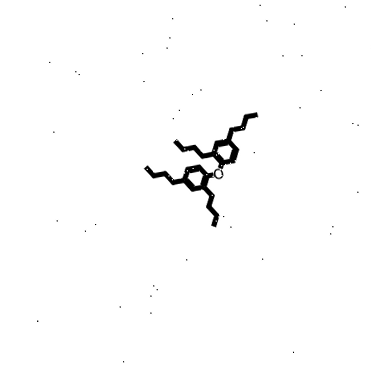 CCCCc1ccc(Oc2ccc(CCCC)cc2CCCC)c(CCCC)c1